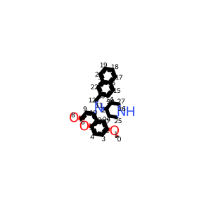 COc1ccc2oc(=O)cc(N(Cc3ccc4ccccc4c3)C3CCNCC3)c2c1